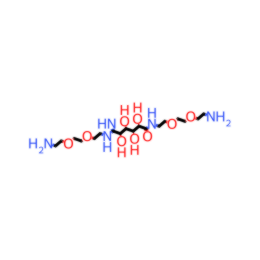 N=C(NCCOCCOCCN)[C@H](O)[C@@H](O)[C@@H](O)[C@H](O)C(=O)NCCOCCOCCN